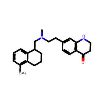 COc1cccc2c1CCCC2CN(C)CCc1ccc2c(c1)NCCC2=O